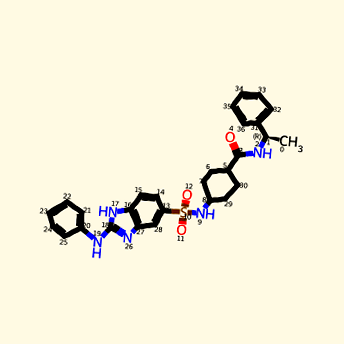 C[C@@H](NC(=O)C1CCC(NS(=O)(=O)c2ccc3[nH]c(Nc4ccccc4)nc3c2)CC1)c1ccccc1